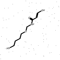 O=C(C=CO)NCOCCCCS